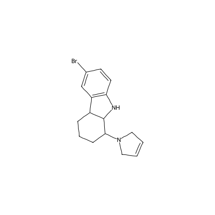 Brc1ccc2c(c1)C1CCCC(N3CC=CC3)C1N2